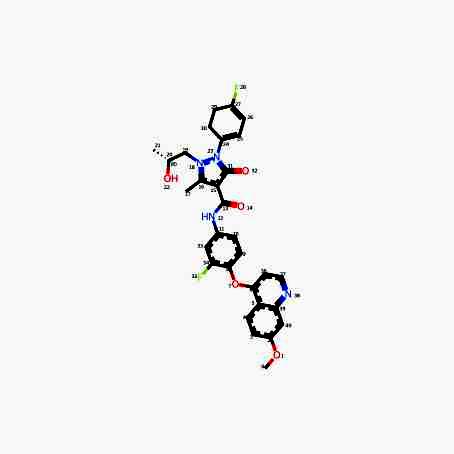 COc1ccc2c(Oc3ccc(NC(=O)c4c(C)n(C[C@@H](C)O)n(C5=CC=C(F)CC5)c4=O)cc3F)ccnc2c1